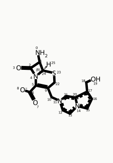 NC1C(=O)N2C(C(=O)[O-])=C(Cn3cc[n+]4ccc(CO)c-4c3)CS[C@H]12